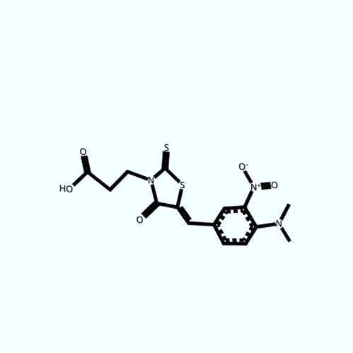 CN(C)c1ccc(/C=C2\SC(=S)N(CCC(=O)O)C2=O)cc1[N+](=O)[O-]